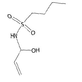 C=CC(O)NS(=O)(=O)CCCC